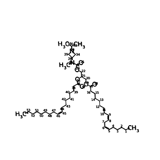 CCCCC/C=C\C/C=C\CCCCCCCC(=O)OCC(COC(=O)N(C)C1CN(C(C)C)C1)OC(=O)CCCCCCC/C=C\CCCCCCCC